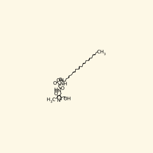 CCC=CCC=CCC=CCC=CCC=CCC=CCCC(=O)N[C@@H](CC(=O)NCc1c(CO)cnc(C)c1O)C(=O)O